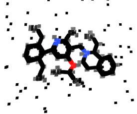 CCc1cccc(CC)c1-c1cc(OC(C)C)c(CN2CCc3ccccc3C2CC)c(C)n1